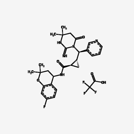 CC1(C)CC(=O)N([C@@H](c2cccnc2)[C@@H]2C[C@H]2C(=O)NC2CC(C)(C)Oc3cc(F)ccc32)C(=N)N1.O=C(O)C(F)(F)F